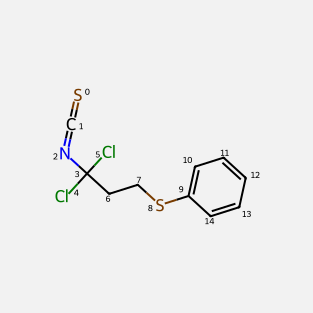 S=C=NC(Cl)(Cl)CCSc1ccccc1